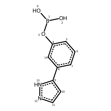 OB(O)Oc1cccc(-c2ccn[nH]2)c1